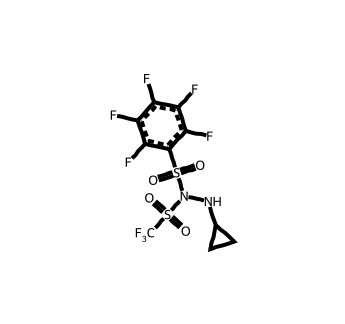 O=S(=O)(c1c(F)c(F)c(F)c(F)c1F)N(NC1CC1)S(=O)(=O)C(F)(F)F